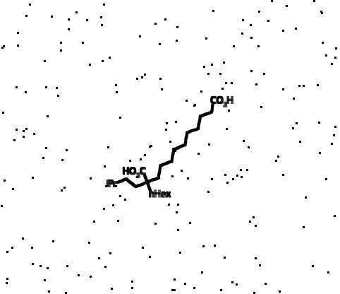 CCCCCCC(CCCCCCCCCC(=O)O)(CCC(C)C)C(=O)O